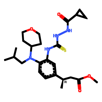 COC(=O)C[C@@H](C)c1ccc(N(CC(C)C)C2CCOCC2)c(NC(=S)NNC(=O)C2CC2)c1